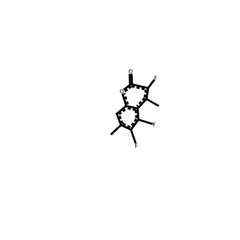 Cc1cc2oc(=O)c(F)c(C)c2c(F)c1F